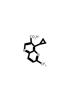 O=C(O)c1cnc2ccc(C(F)(F)F)nc2c1C1CC1